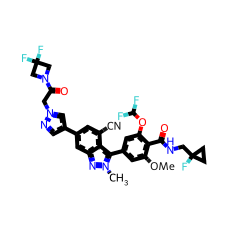 COc1cc(-c2c3c(C#N)cc(-c4cnn(CC(=O)N5CC(F)(F)C5)c4)cc3nn2C)cc(OC(F)F)c1C(=O)NCC1(F)CC1